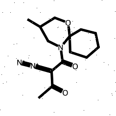 CC(=O)C(=[N+]=[N-])C(=O)N1CC(C)COC12CCCCC2